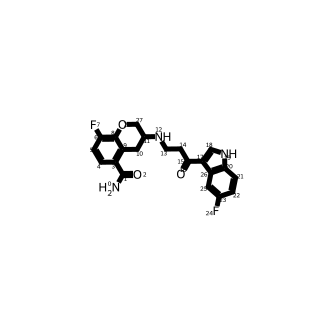 NC(=O)c1ccc(F)c2c1CC(NCCC(=O)c1c[nH]c3ccc(F)cc13)CO2